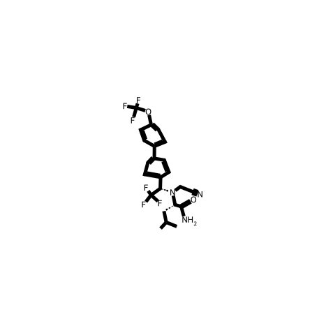 CC(C)C[C@@H](C(N)=O)N(CC#N)[C@@H](c1ccc(-c2ccc(OC(F)(F)F)cc2)cc1)C(F)(F)F